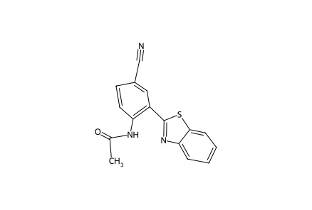 CC(=O)Nc1ccc(C#N)cc1-c1nc2ccccc2s1